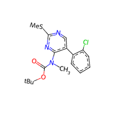 CSc1ncc(-c2ccccc2Cl)c(N(C)C(=O)OC(C)(C)C)n1